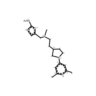 CC(=O)Nc1ncc(CN(C)CCC2CCN(c3cc(C)nc(C)c3)C2)s1